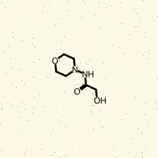 O=C(CO)NN1CCOCC1